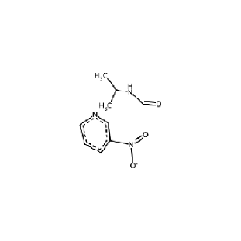 CC(C)NC=O.O=[N+]([O-])c1cccnc1